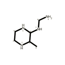 CC1NCCNC1NCN